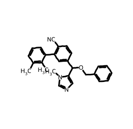 Cc1cccc(-c2cc(C(OCc3ccccc3)c3cncn3C)ccc2C#N)c1C